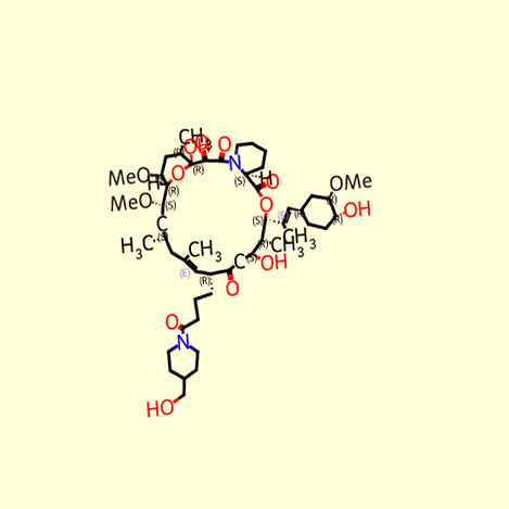 CO[C@H]1C[C@@H](C)C/C(C)=C/[C@@H](CCCC(=O)N2CCC(CO)CC2)C(=O)C[C@H](O)[C@@H](C)[C@@H](/C(C)=C/[C@@H]2CC[C@@H](O)[C@H](OC)C2)OC(=O)[C@@H]2CCCCN2C(=O)C(=O)[C@]2(O)O[C@H]1[C@@H](OC)C[C@H]2C